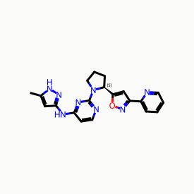 Cc1cc(Nc2ccnc(N3CCC[C@H]3c3cc(-c4ccccn4)no3)n2)n[nH]1